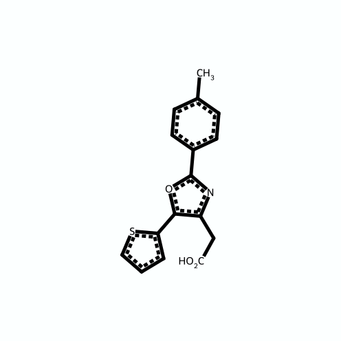 Cc1ccc(-c2nc(CC(=O)O)c(-c3cccs3)o2)cc1